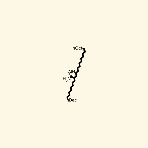 CCCCCCCC/C=C\CCCCCCCCCCC(CCCCCCCCCCCCCCCCCC)C(N)=O.[AlH3]